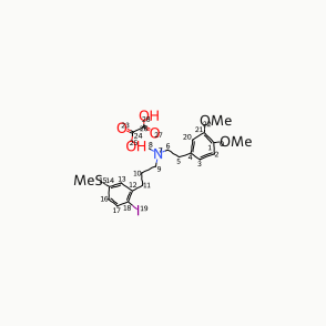 COc1ccc(CCN(C)CCCc2cc(SC)ccc2I)cc1OC.O=C(O)C(=O)O